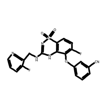 N#Cc1cccc(Oc2c(F)ccc3c2NC(NCc2ncccc2F)=NS3(=O)=O)c1